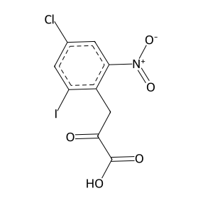 O=C(O)C(=O)Cc1c(I)cc(Cl)cc1[N+](=O)[O-]